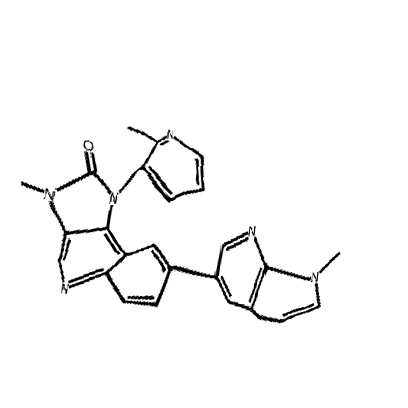 Cc1ncccc1-n1c(=O)n(C)c2cnc3ccc(-c4cnc5c(ccn5C)c4)cc3c21